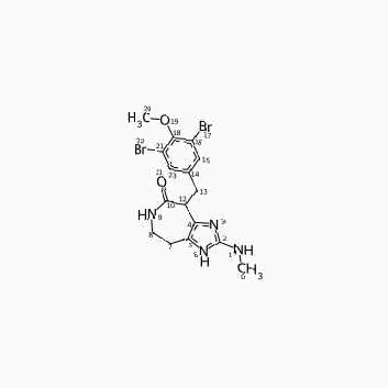 CNc1nc2c([nH]1)CCNC(=O)C2Cc1cc(Br)c(OC)c(Br)c1